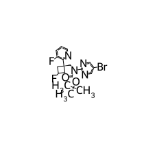 CC(C)(C)OC(=O)N(C[C@]1(c2ncccc2F)C[C@H](F)C1)c1ncc(Br)cn1